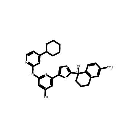 Cc1cc(Nc2cc(C3CCCCC3)ccn2)nc(-c2cnc([C@@]3(O)CCCc4cc(C(=O)O)ccc43)s2)c1